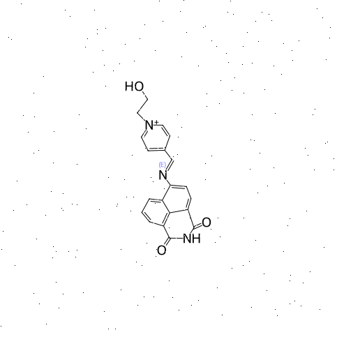 O=C1NC(=O)c2ccc(/N=C/c3cc[n+](CCO)cc3)c3cccc1c23